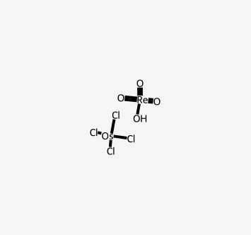 [Cl][Os]([Cl])([Cl])[Cl].[O]=[Re](=[O])(=[O])[OH]